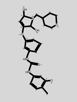 Cc1ccc(NC(=O)Nc2cccc(OC3=CC(O)N(CC4CCOCC4)C3O)c2)cc1Cl